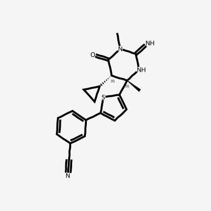 CN1C(=N)N[C@](C)(c2ccc(-c3cccc(C#N)c3)s2)[C@H](C2CC2)C1=O